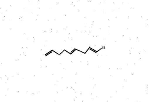 [CH]=CCCC=CCC=CCC